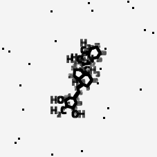 C=C1[C@H](O)CC(=C/C=C2\CCC[C@]3(C)[C@@H](C(C)CN4CCCCC4(C)C)CC[C@@H]23)C[C@H]1O